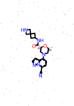 C[C@@H]1CN(c2ccc(C#N)n3nccc23)C[C@H](C(=O)NC2CC3(CNC3)C2)O1